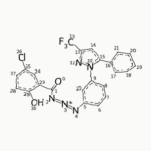 O=C(N=[N+]=Nc1cccc(-n2nc(C(F)(F)F)cc2-c2ccccc2)c1)c1cc(Cl)ccc1O